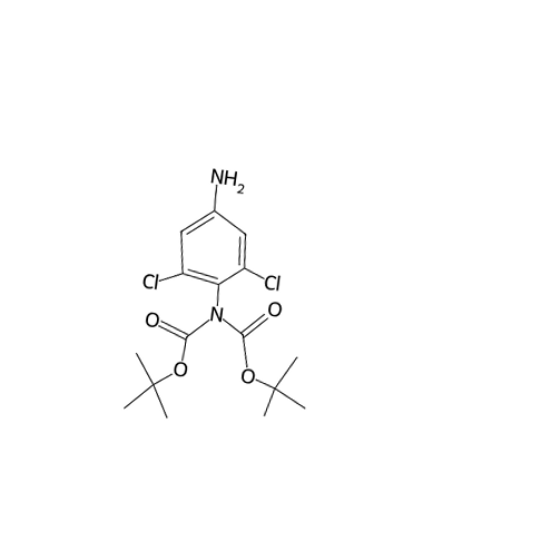 CC(C)(C)OC(=O)N(C(=O)OC(C)(C)C)c1c(Cl)cc(N)cc1Cl